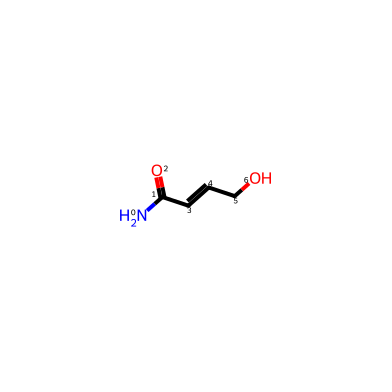 NC(=O)C=CCO